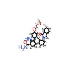 COCCOc1ccc2c(c1)[nH]c1c(C(N)=O)ccc(-c3cccc(N4Cc5ccc(C)cc5C4=O)c3C)c12